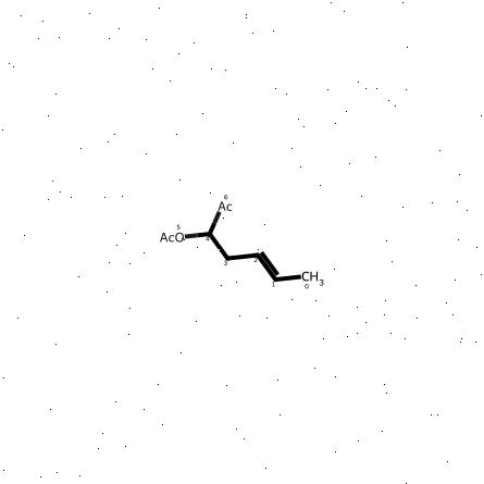 C/C=C/CC(OC(C)=O)C(C)=O